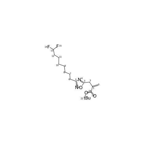 C=C(Cc1nc(CCCCCCCC(F)F)no1)C(=O)OC(C)(C)C